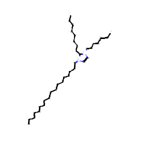 CCCCCCCCCCCCCCCCCCN1C=CN(CCCCCCC)C1CCCCCCCC